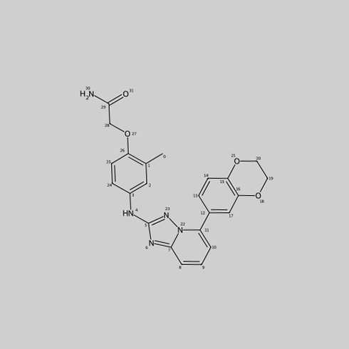 Cc1cc(Nc2nc3cccc(-c4ccc5c(c4)OCCO5)n3n2)ccc1OCC(N)=O